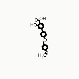 COc1ccc(COc2ccc(-c3ccc(C(=O)O)c(O)c3)cc2)cc1